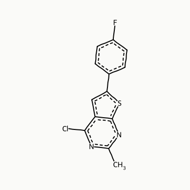 Cc1nc(Cl)c2cc(-c3ccc(F)cc3)sc2n1